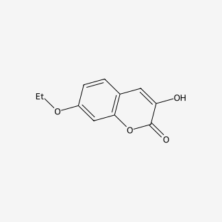 CCOc1ccc2cc(O)c(=O)oc2c1